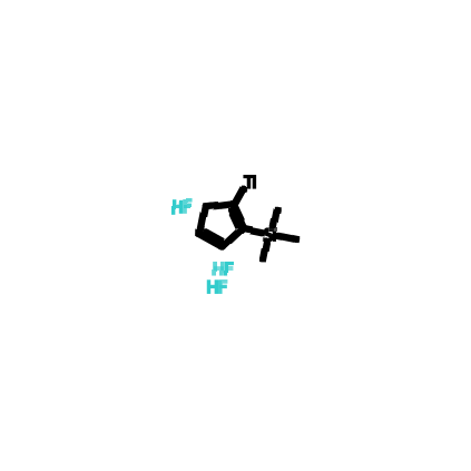 C[Si](C)(C)C1=[C]([Ti])CC=C1.F.F.F